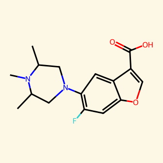 CC1CN(c2cc3c(C(=O)O)coc3cc2F)CC(C)N1C